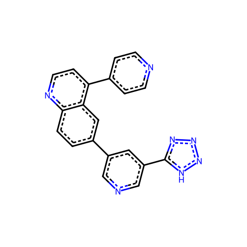 c1cc(-c2ccnc3ccc(-c4cncc(-c5nnn[nH]5)c4)cc23)ccn1